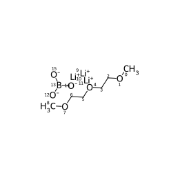 COCCOCCOC.[Li+].[Li+].[Li+].[O-]B([O-])[O-]